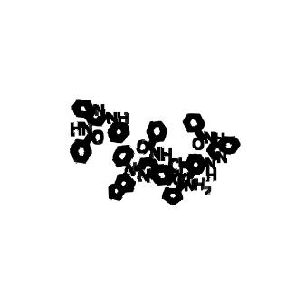 NC(=O)C1CCCC1.O=C(Nc1cc(N(C2=CC=CCC2)c2ccc3c(c2)C=CC3)nc2ccccc12)C1CCCCC1.O=C(Nc1cc(Nc2ccc(Cl)c(Cl)c2)nc2ccccc12)C1CCCCC1.O=C(Nc1cc(Nc2ccccc2)nc2ccccc12)C1CCCCC1